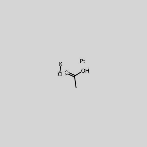 CC(=O)O.[Cl][K].[Pt]